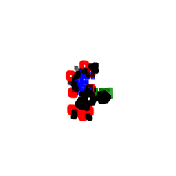 CC(=O)Oc1ccc2c(c1OC(C)=O)CC(c1ccccc1)CC2(C=O)CNC(=O)[C@H](C)NC(=O)[C@H](C)NC(=O)OC(C)(C)C.Cl